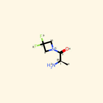 C[C@@H](N)C(=O)N1CC(F)(F)C1